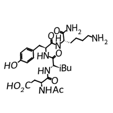 CC[C@H](C)[C@H](NC(=O)[C@H](CC(=O)O)NC(C)=O)C(=O)N[C@@H](Cc1ccc(O)cc1)C(=O)N[C@@H](CCCCN)C(N)=O